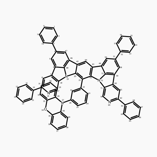 c1ccc(-c2cc3c4cc(-c5ccccc5)ncc4n4c5c(-c6cccc(N7c8ccccc8Oc8ccccc87)c6)c6c(cc5c(c2)c34)c2cc(-c3ccccc3)cc3c4cc(-c5ccccc5)ncc4n6c32)cc1